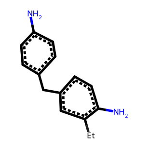 CCc1cc(Cc2ccc(N)cc2)ccc1N